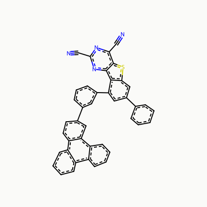 N#Cc1nc(C#N)c2sc3cc(-c4ccccc4)cc(-c4cccc(-c5ccc6c7ccccc7c7ccccc7c6c5)c4)c3c2n1